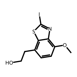 COc1ccc(CCO)c2sc(I)nc12